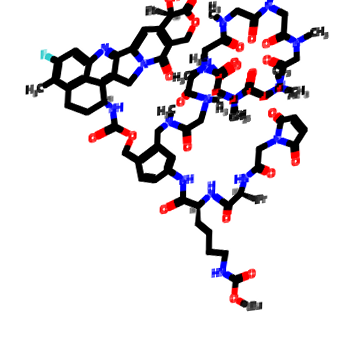 CC[C@@]1(O)C(=O)OCc2c1cc1n(c2=O)Cc2c-1nc1cc(F)c(C)c3c1c2[C@@H](NC(=O)OCc1ccc(NC(=O)[C@H](CCCCNC(=O)OC(C)(C)C)NC(=O)[C@@H](NC(=O)CN2C(=O)C=CC2=O)C(C)C)cc1CN(C)C(=O)CN(C)C(=O)CN(C)C(=O)CN(C)C(=O)CN(C)C(=O)CN(C)C(=O)CN(C)C(=O)CN(C)C(=O)CN(C)C(=O)CN(C)C(=O)CN(C)C(C)=O)CC3